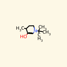 CC1CCN(C(C)(C)C)C=C1O